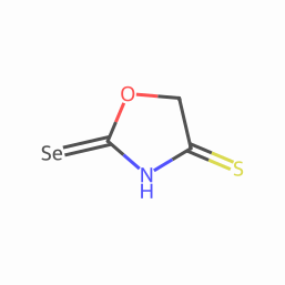 S=C1COC(=[Se])N1